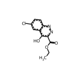 CCOC(=O)c1nnc2ccc(Cl)cc2c1O